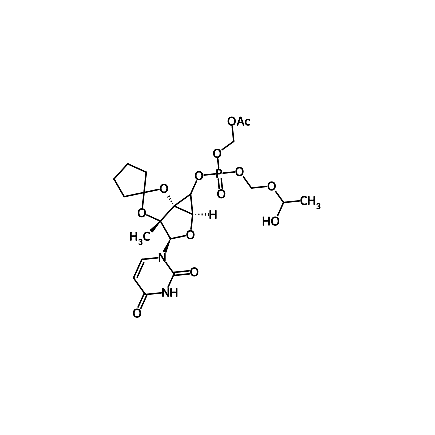 CC(=O)OCOP(=O)(OCOC(C)O)OC1[C@H]2O[C@@H](n3ccc(=O)[nH]c3=O)[C@]3(C)OC4(CCCC4)O[C@]123